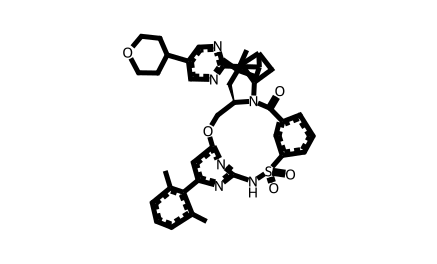 Cc1cccc(C)c1-c1cc2nc(n1)NS(=O)(=O)c1cccc(c1)C(=O)N(C13CC(C1)C3c1ncc(C3CCOCC3)cn1)[C@H](CC(C)(C)C)CO2